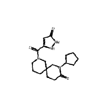 O=C(c1cc(=O)[nH][nH]1)N1CCCC2(CCC(=O)N(C3CCCC3)C2)C1